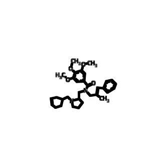 COc1cc(C(=O)N(CC(C)=Cc2ccccc2)CC2CCCN2CC2CC=CCC2)cc(OC)c1OC